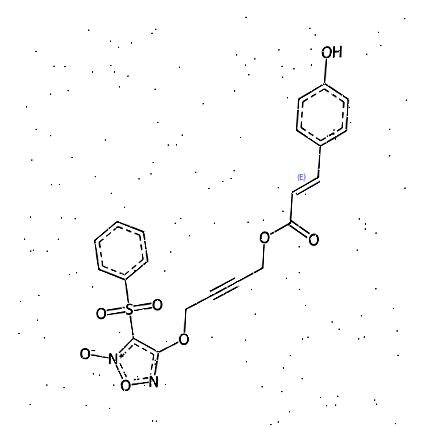 O=C(/C=C/c1ccc(O)cc1)OCC#CCOc1no[n+]([O-])c1S(=O)(=O)c1ccccc1